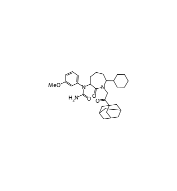 COc1cccc(N(C(N)=O)C2CCCC(C3CCCCC3)N(CC(=O)C34CC5CC(CC(C5)C3)C4)C2=O)c1